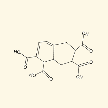 O=C(O)C1=CC=C2CC(C(=O)O)C(C(=O)O)CC2C1C(=O)O